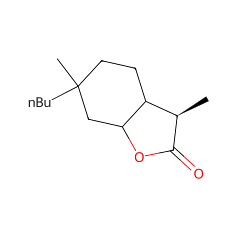 CCCCC1(C)CCC2C(C1)OC(=O)[C@@H]2C